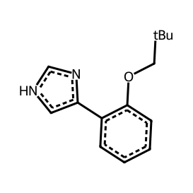 CC(C)(C)COc1ccccc1-c1c[nH]cn1